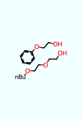 CCCCOCCOCCO.OCCOc1ccccc1